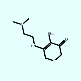 CN(C)CCNC1=C(C(C)(C)C)C(=O)CSC1